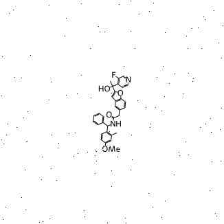 COc1ccc(C(NC(=O)Cc2ccc3oc(C(C)(O)c4ccncc4F)cc3c2)c2ccccc2)c(C)c1